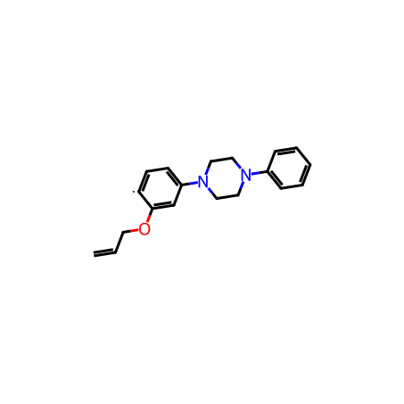 C=CCOc1[c]ccc(N2CCN(c3ccccc3)CC2)c1